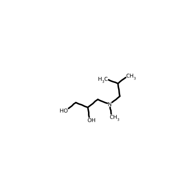 CC(C)CN(C)CC(O)CO